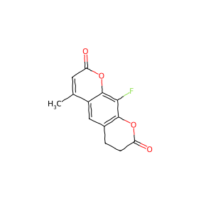 Cc1cc(=O)oc2c(F)c3c(cc12)CCC(=O)O3